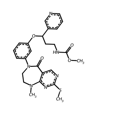 COC(=O)NCCC(Oc1cccc(N2CCN(C)c3nc(SC)ncc3C2=O)c1)c1cccnc1